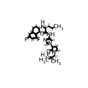 CCC[C@H](N[C@H]1CCc2cc(F)cc(F)c2C1)C(=O)Nc1cn(C2CCN(CC(C)(C)C)C2=O)cn1